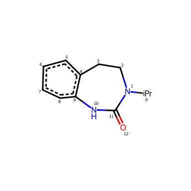 CC(C)N1CCc2ccccc2NC1=O